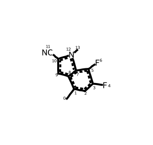 Cc1cc(F)c(F)c2c1cc(C#N)n2C